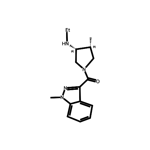 CCN[C@H]1CN(C(=O)c2nn(C)c3ccccc23)C[C@H]1C